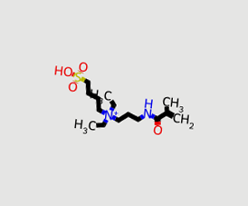 C=C(C)C(=O)NCCC[N+](CC)(CC)CCCCS(=O)(=O)O